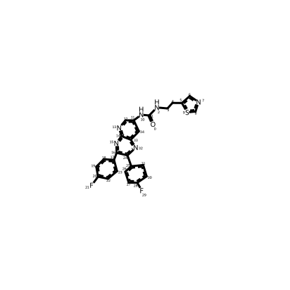 O=C(NCCc1cncs1)Nc1cnc2nc(-c3ccc(F)cc3)c(-c3ccc(F)cc3)nc2c1